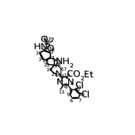 CCOC(=O)c1nc(-c2cccc(Cl)c2Cl)c(C)nc1N1CCC2(CC1)Cc1ccc(NS(C)(=O)=O)cc1[C@H]2N